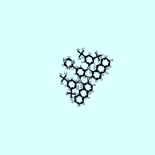 CC(C)(C)c1cc(N2c3cc(-c4ncncn4)cc4c3B(c3ccc5cc6ccccc6cc5c32)c2ccc3cc5ccccc5cc3c2N4c2cc(C(C)(C)C)cc(C(C)(C)C)c2)cc(C(C)(C)C)c1